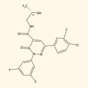 O=C(NC[C@@H](O)C(F)(F)F)c1cc(-c2ccc(Cl)c(F)c2)nn(-c2cc(F)cc(F)c2)c1=O